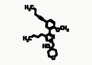 CCCC#Cc1ccc(OC)c(-c2nn(CC3(O)CCOCC3)cc2CCCC)c1